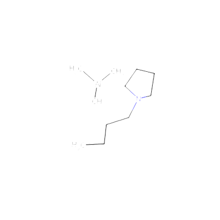 CCCCN1CCCC1.[CH3][Al]([CH3])[CH3]